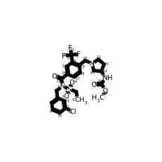 CCS(=O)(=O)N(Cc1cccc(Cl)c1)C(=O)c1ccc(CN2CCC(NC(=O)OC)C2)c(C(F)(F)F)c1